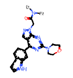 CCN(CC)C(=O)Cn1ncc2c(-c3ccc4cc[nH]c4c3)nc(N3CCOCC3)nc21